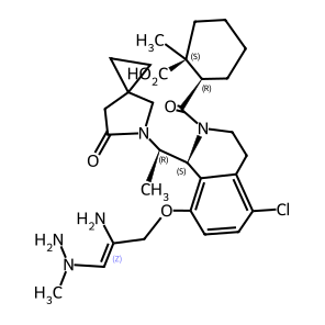 C[C@H]([C@@H]1c2c(OC/C(N)=C/N(C)N)ccc(Cl)c2CCN1C(=O)[C@@H]1CCCC[C@]1(C)C(=O)O)N1CC2(CC2)CC1=O